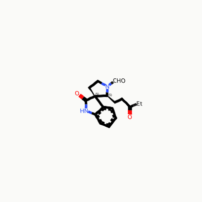 CCC(=O)CC[C@@H]1N(C=O)CC[C@@]12C(=O)Nc1ccccc12